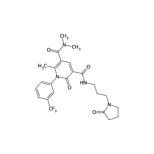 Cc1c(C(=O)N(C)C)cc(C(=O)NCCCN2CCCC2=O)c(=O)n1-c1cccc(C(F)(F)F)c1